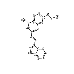 C[C@@H](NC(=O)/C=C/c1c[nH]c2ccccc12)c1ccc(OCC(F)(F)F)cn1